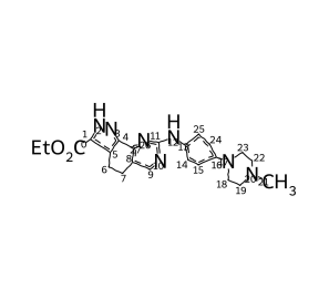 CCOC(=O)c1[nH]nc2c1CCc1cnc(Nc3ccc(N4CCN(C)CC4)cc3)nc1-2